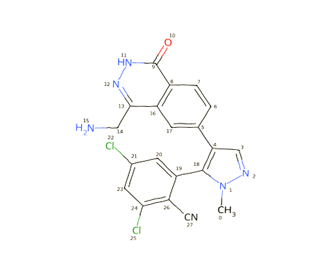 Cn1ncc(-c2ccc3c(=O)[nH]nc(CN)c3c2)c1-c1cc(Cl)cc(Cl)c1C#N